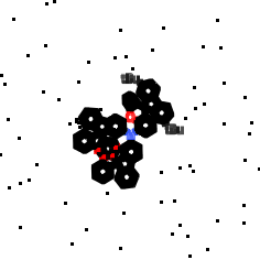 CC(C)(C)c1ccc2c(c1)C1(c3ccccc3Oc3c(N(c4ccc5c(c4)C(c4ccccc4)(c4ccccc4)c4ccccc4-5)c4ccc5c(c4)C4(c6ccccc6-c6ccccc64)c4ccccc4-5)cccc31)c1cc(C(C)(C)C)ccc1-2